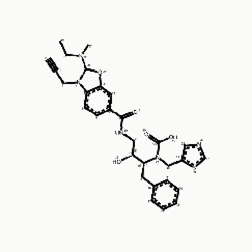 C#CCN1c2ccc(C(=O)NC[C@H](O)[C@H](Cc3ccccc3)N(Cc3cncs3)C(=O)O)cc2OC1N(C)CC